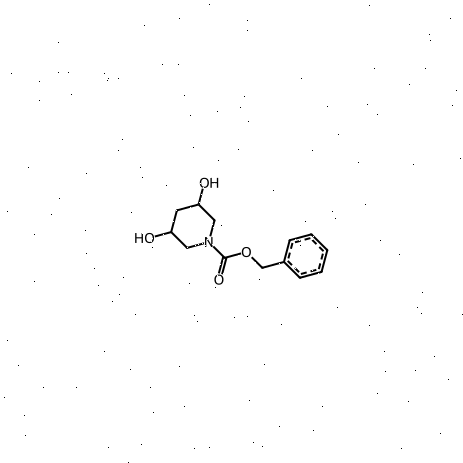 O=C(OCc1ccccc1)N1CC(O)CC(O)C1